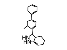 CC1CC(C2=CC=CCC2)=CC=C1C1NNC2=CCCCC21